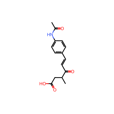 CC(=O)Nc1ccc(C=CC(=O)C(C)CC(=O)O)cc1